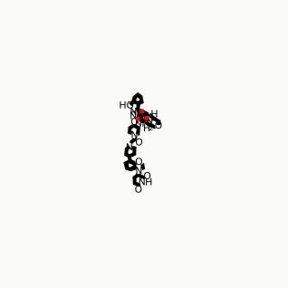 Nc1nnc(-c2ccccc2O)cc1N1C[C@H]2COC[C@@H](C1)N2c1cccc(OC2CCN(C(=O)CN3CCC(c4cccc5c4OCCN5C4CCC(=O)NC4=O)CC3)CC2)c1